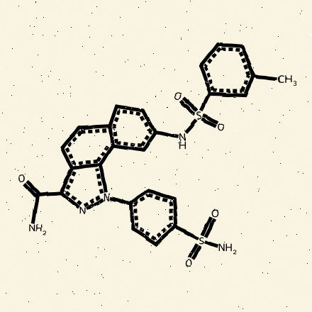 Cc1cccc(S(=O)(=O)Nc2ccc3ccc4c(C(N)=O)nn(-c5ccc(S(N)(=O)=O)cc5)c4c3c2)c1